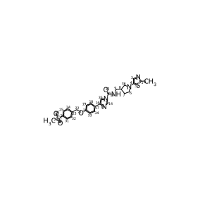 Cc1ncc(N2CCC(CNC(=O)n3cnc(-c4ccc(OCc5ccc(S(C)(=O)=O)cc5)cc4)c3)C2)s1